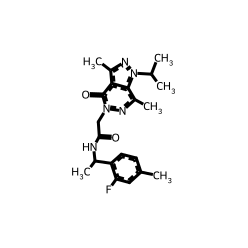 Cc1ccc(C(C)NC(=O)Cn2nc(C)c3c(c(C)nn3C(C)C)c2=O)c(F)c1